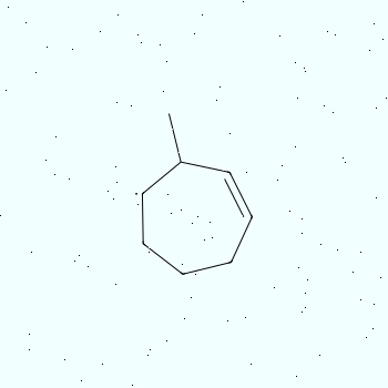 CC1[CH]CCCC=C1